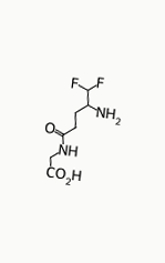 NC(CCC(=O)NCC(=O)O)C(F)F